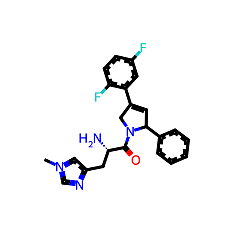 Cn1cnc(C[C@H](N)C(=O)N2CC(c3cc(F)ccc3F)=CC2c2ccccc2)c1